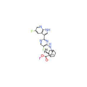 O=C(OI)[C@H]1C2CCC(CC2)[C@@H]1Nc1nc(-c2c[nH]c3ncc(F)cc23)ncc1F